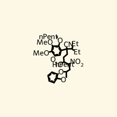 CCCCCOc1cc(C(C#N)(CCC(O)C(CC2COc3ccccc3O2)[N+](=O)[O-])C(CC)CC)c(OCCCCC)c(OC)c1OC